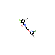 O=C(NCC=CCOc1cc(C(F)(F)F)cc(Cl)n1)c1cc([N+](=O)[O-])c(F)c(F)c1F